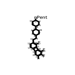 CCCCCC1CCC(C2CCC(CCc3ccc4c(c3F)-c3c-4cc(C)c(F)c3F)CC2)CC1